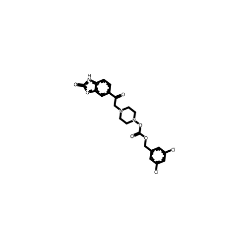 O=C(OCc1cc(Cl)cc(Cl)c1)ON1CCN(CC(=O)c2ccc3[nH]c(=O)oc3c2)CC1